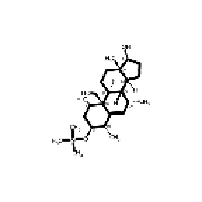 C[C@@H]1C=C2[C@H](C)[C@@H](O[Si](C)(C)C)C[C@H](C)[C@]2(CO)[C@H]2CC[C@]3(C)[C@@H](O)CC[C@H]3[C@H]12